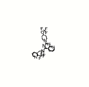 FC(F)(F)OC1CCN(c2nc(NCc3cccnc3C(F)(F)F)c3cccnc3n2)CC1